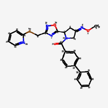 CON=C1CC(c2nc(CSc3ccccn3)no2)N(C(=O)c2ccc(-c3ccccc3)cc2)C1